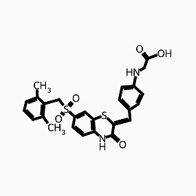 Cc1cccc(C)c1CS(=O)(=O)c1ccc2c(c1)SC(=Cc1ccc(NCC(=O)O)cc1)C(=O)N2